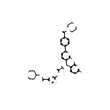 Cc1ccc2c(n1)Oc1nc(-c3ccc(C(=O)N4CCOCC4)cc3)ccc1[C@H]2C(C)(C)C(=O)Nc1nnc(C(=O)NC2CCOCC2)s1